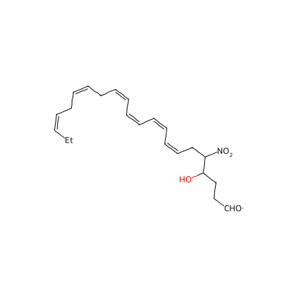 CC/C=C\C/C=C\C\C=C/C=C\C=C/C=C\CC(C(O)CC[C]=O)[N+](=O)[O-]